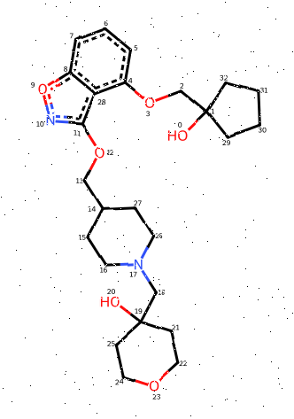 OC1(COc2cccc3onc(OCC4CCN(CC5(O)CCOCC5)CC4)c23)CCCC1